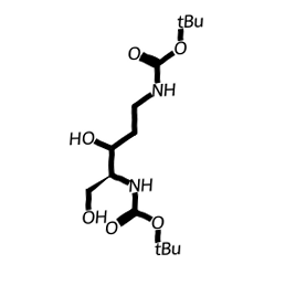 CC(C)(C)OC(=O)NCCC(O)[C@H](CO)NC(=O)OC(C)(C)C